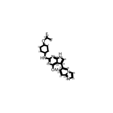 COc1nc(NC2CCC(OC(F)F)CC2)nc2[nH]cc(-c3ccc4nccn4c3)c12